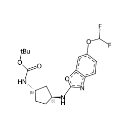 CC(C)(C)OC(=O)N[C@H]1CC[C@H](Nc2nc3ccc(OC(F)F)cc3o2)C1